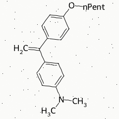 C=C(c1ccc(OCCCCC)cc1)c1ccc(N(C)C)cc1